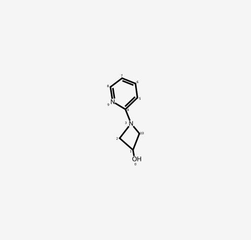 OC1CN(c2ccccn2)C1